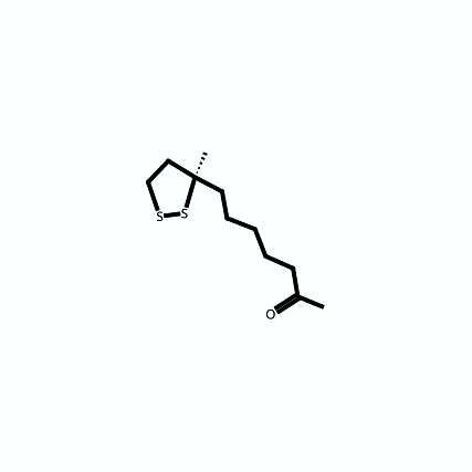 CC(=O)CCCCC[C@]1(C)CCSS1